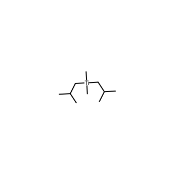 CC(C)[CH2][Ti]([CH3])([CH3])[CH2]C(C)C